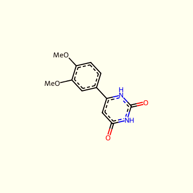 COc1ccc(-c2cc(=O)[nH]c(=O)[nH]2)cc1OC